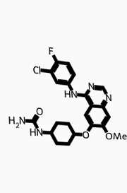 COc1cc2ncnc(Nc3ccc(F)c(Cl)c3)c2cc1OC1CCC(NC(N)=O)CC1